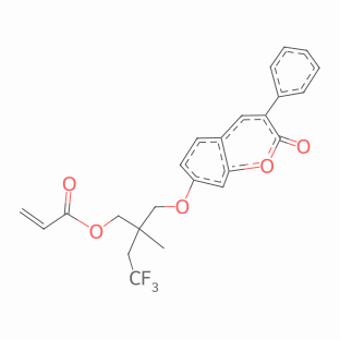 C=CC(=O)OCC(C)(COc1ccc2cc(-c3ccccc3)c(=O)oc2c1)CC(F)(F)F